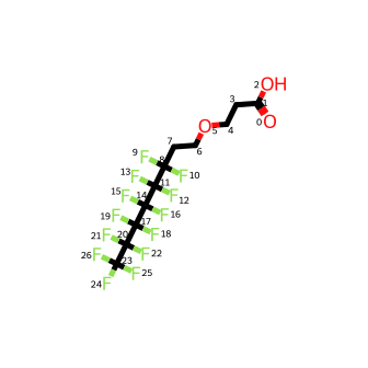 O=C(O)CCOCCC(F)(F)C(F)(F)C(F)(F)C(F)(F)C(F)(F)C(F)(F)F